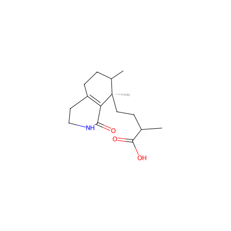 CC(CC[C@@]1(C)C2=C(CCNC2=O)CCC1C)C(=O)O